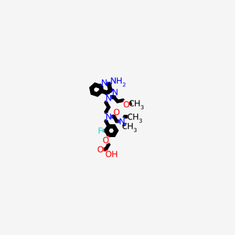 CCN(C)CC(=O)N(CCCn1c(CCOC)nc2c(N)nc3ccccc3c21)Cc1cccc(OCC(=O)O)c1F